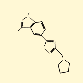 Cn1nc(Br)c2cc(-c3nc(CN4CCCC4)n[nH]3)ccc21